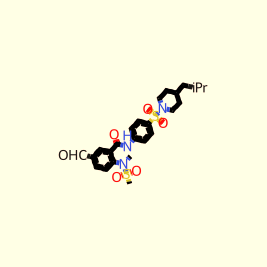 CC(C)CC1CCN(S(=O)(=O)c2ccc(NC(=O)c3cc(C=O)ccc3N(C)S(C)(=O)=O)cc2)CC1